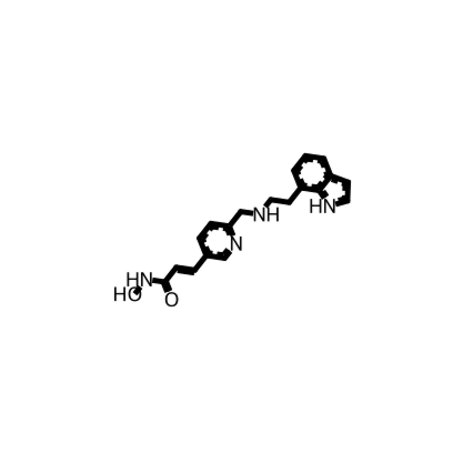 O=C(/C=C/c1ccc(CNCCc2cccc3cc[nH]c23)nc1)NO